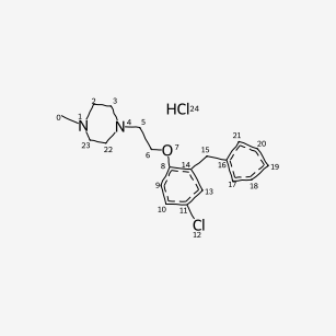 CN1CCN(CCOc2ccc(Cl)cc2Cc2ccccc2)CC1.Cl